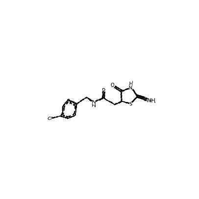 N=C1NC(=O)C(CC(=O)NCc2ccc(Cl)cc2)S1